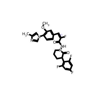 COc1cc(/C=C(/F)C(=O)NN2CCCC(c3c(F)cc(F)cc3F)C2=O)ccc1-n1cnc(C)c1